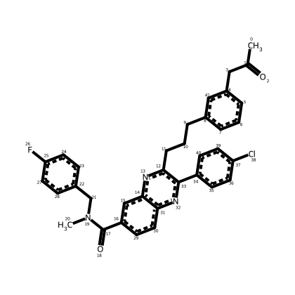 CC(=O)Cc1cccc(CCCc2nc3cc(C(=O)N(C)Cc4ccc(F)cc4)ccc3nc2-c2ccc(Cl)cc2)c1